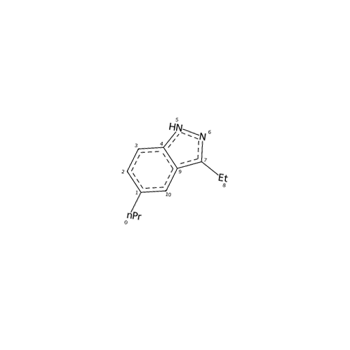 CCCc1ccc2[nH]nc(CC)c2c1